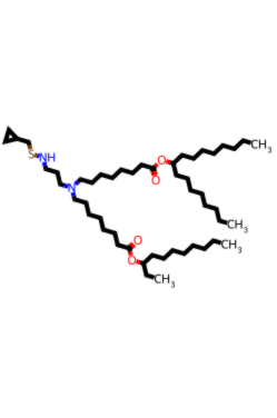 CCCCCCCCC(CC)OC(=O)CCCCCCCN(CCCCCCCC(=O)OC(CCCCCCCC)CCCCCCCC)CCCNSCC1CC1